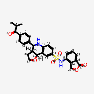 CC(C)C(=O)c1ccc(C2Nc3ccc(S(=O)(=O)Nc4cccc5c4COC5=O)cc3[C@H]3OCC[C@@H]23)cc1